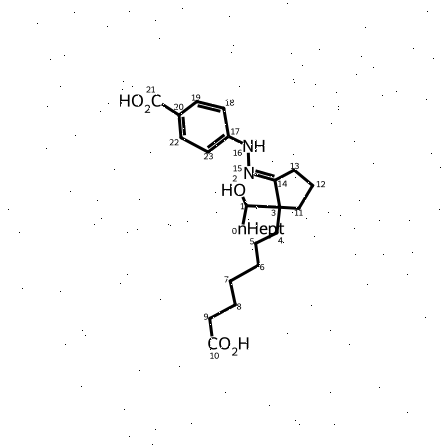 CCCCCCCC(O)C1(CCCCCCC(=O)O)CCCC1=NNc1ccc(C(=O)O)cc1